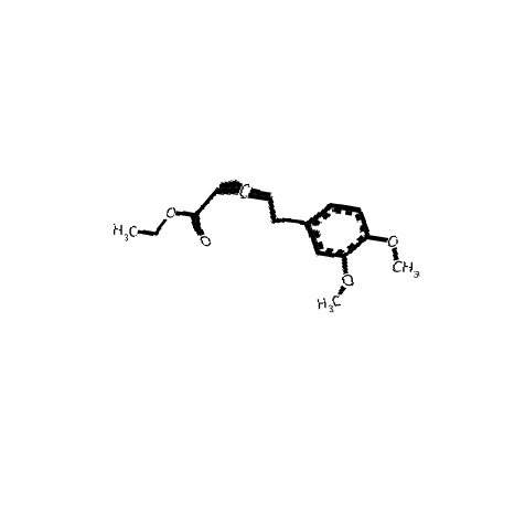 CCOC(=O)C=C=CCc1ccc(OC)c(OC)c1